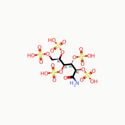 NC(=O)[C@H](OS(=O)(=O)O)[C@@H](OS(=O)(=O)O)[C@@H](OS(=O)(=O)O)[C@@H](COS(=O)(=O)O)OS(=O)(=O)O